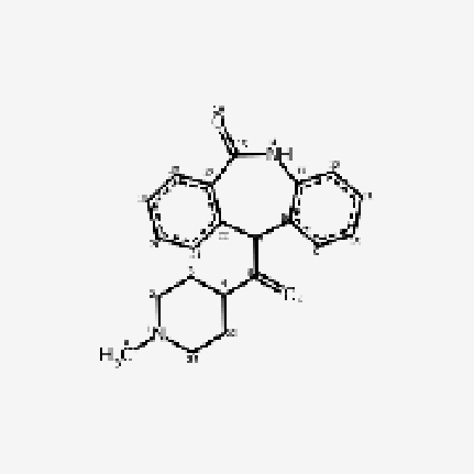 CN1CCC(C(=O)C2c3ccccc3NC(=O)c3ccccc32)CC1